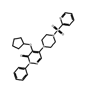 O=c1c(OC2CCCC2)c(N2CCN(S(=O)(=O)c3ccccn3)CC2)cnn1-c1ccccc1